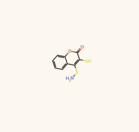 NSc1c(S)c(=O)oc2ccccc12